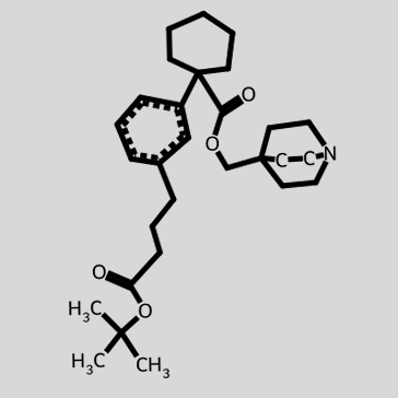 CC(C)(C)OC(=O)CCCc1cccc(C2(C(=O)OCC34CCN(CC3)CC4)CCCCC2)c1